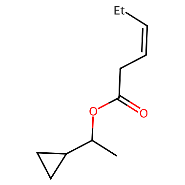 CC/C=C\CC(=O)OC(C)C1CC1